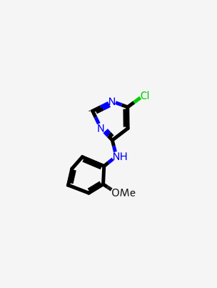 COc1ccccc1Nc1cc(Cl)n[c]n1